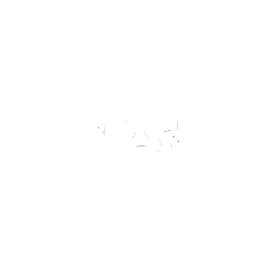 O=c1c(Cl)c(-c2ccc3c(c2)COC2(CCN(C4CCC4)CC2)O3)ccn1CC(F)(F)F